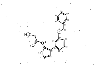 CCC(=O)Oc1occc1-c1cccc(OCc2ccccc2)c1